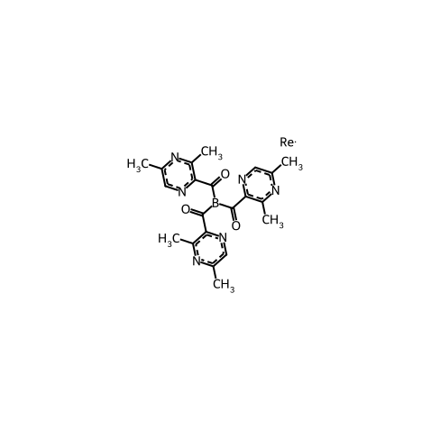 Cc1cnc(C(=O)B(C(=O)c2ncc(C)nc2C)C(=O)c2ncc(C)nc2C)c(C)n1.[Re]